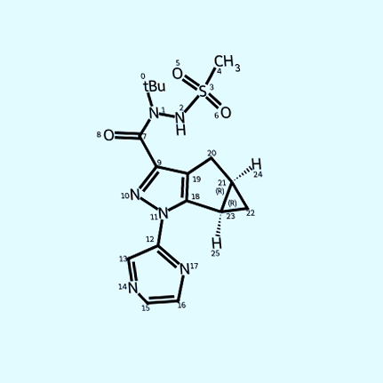 CC(C)(C)N(NS(C)(=O)=O)C(=O)c1nn(-c2cnccn2)c2c1C[C@H]1C[C@@H]21